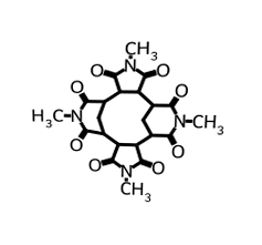 CN1C(=O)C2CC(C1=O)C1C(=O)N(C)C(=O)C1C1CC(C(=O)N(C)C1=O)C1C(=O)N(C)C(=O)C21